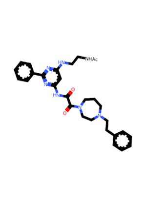 CC(=O)NCCNc1cc(NC(=O)C(=O)N2CCCN(CCc3ccccc3)CC2)nc(-c2ccccc2)n1